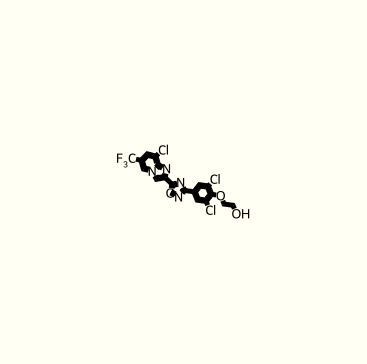 OCCOc1c(Cl)cc(-c2noc(-c3cn4cc(C(F)(F)F)cc(Cl)c4n3)n2)cc1Cl